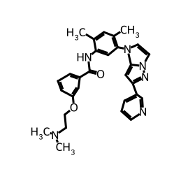 Cc1cc(C)c(-n2ccn3nc(-c4cccnc4)cc23)cc1NC(=O)c1cccc(OCCN(C)C)c1